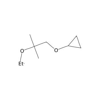 C[CH]OC(C)(C)COC1CC1